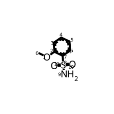 COc1ccc[c]c1S(N)(=O)=O